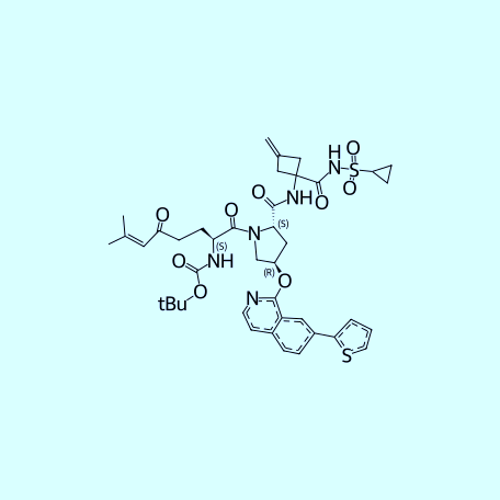 C=C1CC(NC(=O)[C@@H]2C[C@@H](Oc3nccc4ccc(-c5cccs5)cc34)CN2C(=O)[C@H](CCC(=O)C=C(C)C)NC(=O)OC(C)(C)C)(C(=O)NS(=O)(=O)C2CC2)C1